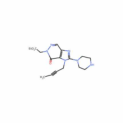 CC#CCn1c(N2CCNCC2)nc2cnn(CC(=O)OCC)c(=O)c21